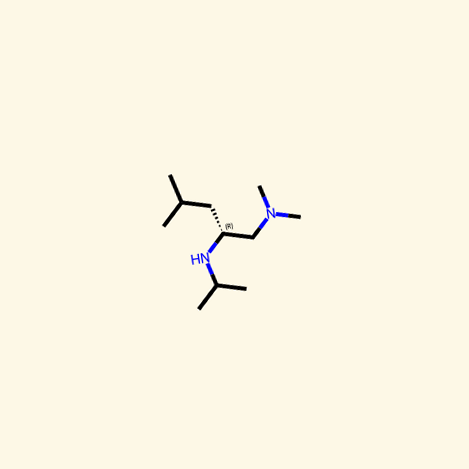 CC(C)C[C@H](CN(C)C)NC(C)C